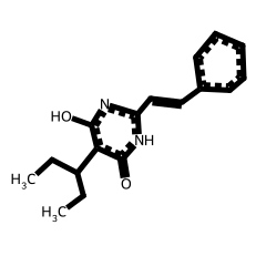 CCC(CC)c1c(O)nc(C=Cc2ccccc2)[nH]c1=O